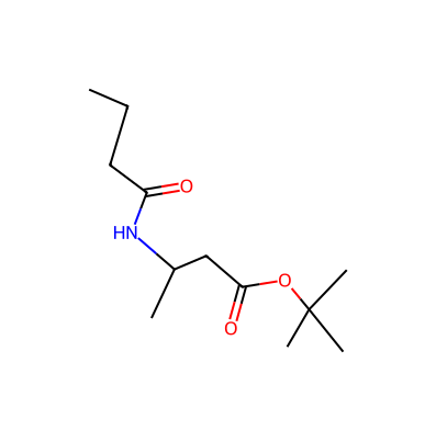 CCCC(=O)NC(C)CC(=O)OC(C)(C)C